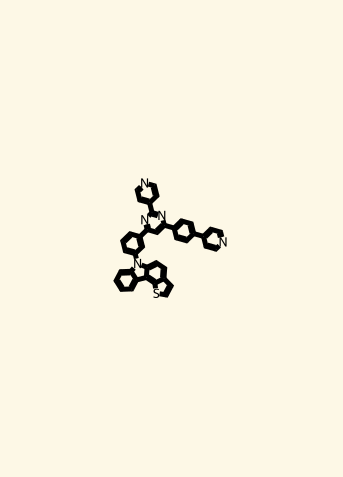 c1cc(-c2cc(-c3ccc(-c4ccncc4)cc3)nc(-c3ccncc3)n2)cc(-n2c3ccccc3c3c4sccc4ccc32)c1